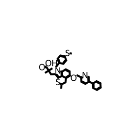 CSc1ccc(Cn2c(CC(C)(C)C(=O)O)c3c4c(c(OCc5ccc(-c6ccccc6)cn5)ccc42)CC(C)S3)cc1